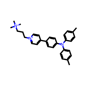 Cc1ccc(N(c2ccc(C)cc2)c2ccc(-c3cc[n+](CCC[N+](C)(C)C)cc3)cc2)cc1